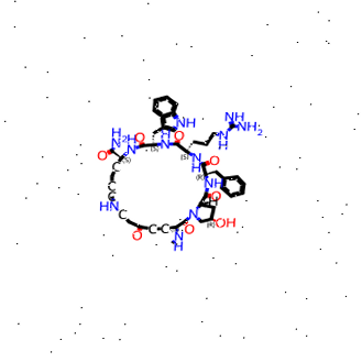 CN[C@H]1CCC(=O)CCNCCCC[C@@H](C(N)=O)NC(=O)[C@H](Cc2c[nH]c3ccccc23)NC(=O)[C@H](CCCNC(=N)N)NC(=O)[C@@H](Cc2ccccc2)NC(=O)[C@@H]2C[C@@H](O)CN2C1=O